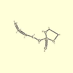 [N-]=[N+]=NCOP1(=O)OCCO1